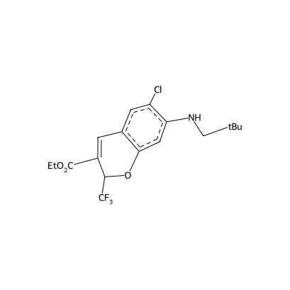 CCOC(=O)C1=Cc2cc(Cl)c(NCC(C)(C)C)cc2OC1C(F)(F)F